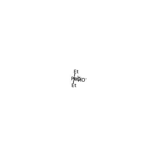 C[CH2][Pb+2][CH2]C.[OH-].[OH-]